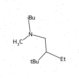 CCC(C)N(C)CC(CC)C(C)(C)C